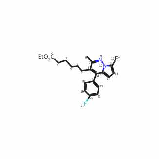 CCOC(=O)CCCCCc1c(C)nn2c(CC)ccc2c1-c1ccc(F)cc1